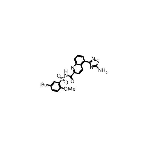 COc1ccc(C(C)(C)C)cc1S(=O)(=O)NC(=O)c1ccc2c(-c3nsc(N)n3)cccc2n1